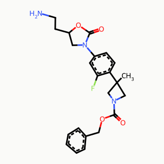 CC1(c2ccc(N3CC(CCN)OC3=O)cc2F)CN(C(=O)OCc2ccccc2)C1